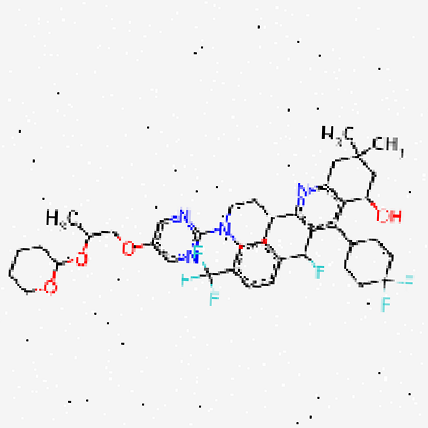 C[C@@H](COc1cnc(N2CCC(c3nc4c(c(C5CCC(F)(F)CC5)c3C(F)c3ccc(C(F)(F)F)cc3)C(O)CC(C)(C)C4)CC2)nc1)OC1CCCCO1